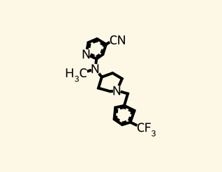 CN(c1cc(C#N)ccn1)C1CCN(Cc2cccc(C(F)(F)F)c2)CC1